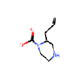 C=CCC1CNCCN1C([O])=O